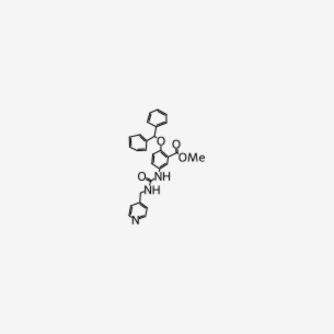 COC(=O)c1cc(NC(=O)NCc2ccncc2)ccc1OC(c1ccccc1)c1ccccc1